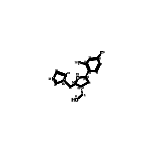 OC[C@H]1C[C@H](c2ccc(F)cc2F)OC1Cn1cncn1